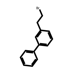 BrCCc1cccc(-c2ccccc2)c1